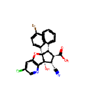 N#C[C@H]1[C@H](C(=O)O)[C@@H](c2ccccc2)[C@]2(c3ccc(Br)cc3)Oc3cc(Cl)cnc3[C@]12O